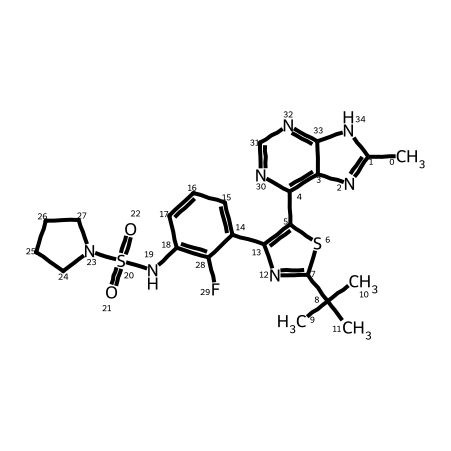 Cc1nc2c(-c3sc(C(C)(C)C)nc3-c3cccc(NS(=O)(=O)N4CCCC4)c3F)ncnc2[nH]1